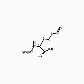 C=CCCCC(NCCCCC)C(O)=S